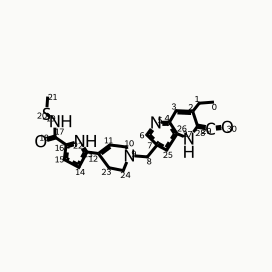 CCC1=Cc2ncc(CN3CC=C(c4ccc(C(=O)NSC)[nH]4)CC3)cc2NC1=C=O